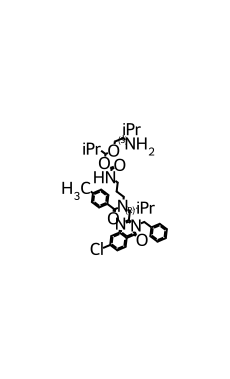 Cc1ccc(C(=O)N(CCCNC(=O)OC(OC[C@@H](N)C(C)C)C(C)C)[C@@H](c2nc3cc(Cl)ccc3c(=O)n2Cc2ccccc2)C(C)C)cc1